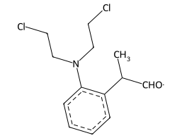 CC([C]=O)c1ccccc1N(CCCl)CCCl